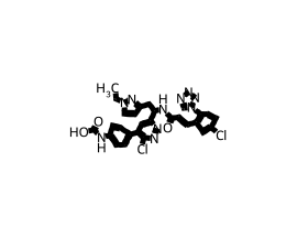 CCn1ccc(CC(NC(=O)C=Cc2cc(Cl)ccc2-n2cnnn2)c2cc(-c3ccc(NC(=O)O)cc3)c(Cl)nn2)n1